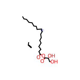 C=CC.CCCCCCCC/C=C\CCCCCCCC(=O)OC(=O)C(O)CO